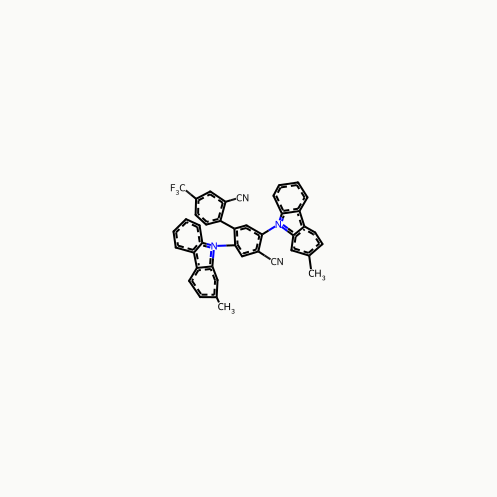 Cc1ccc2c3ccccc3n(-c3cc(-c4ccc(C(F)(F)F)cc4C#N)c(-n4c5ccccc5c5ccc(C)cc54)cc3C#N)c2c1